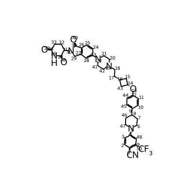 N#Cc1ccc(N2CCC(c3ccc(O[C@H]4C[C@H](CCN5CCN(c6ccc7c(c6)CN(C6CCC(=O)NC6=O)C7=O)CC5)C4)cc3)CC2)cc1C(F)(F)F